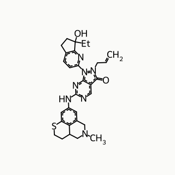 C=CCn1c(=O)c2cnc(Nc3cc4c5c(c3)SCCC5CN(C)C4)nc2n1-c1ccc2c(n1)C(O)(CC)CC2